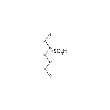 CCCCCCC.CS(=O)(=O)O